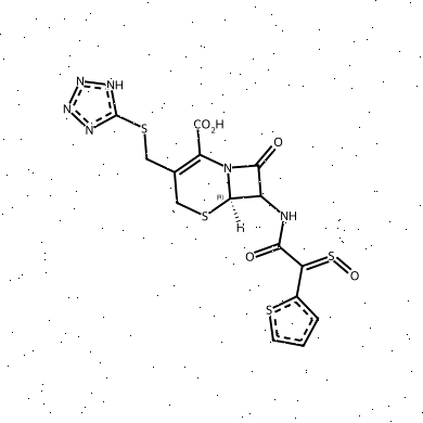 O=S=C(C(=O)NC1C(=O)N2C(C(=O)O)=C(CSc3nnn[nH]3)CS[C@H]12)c1cccs1